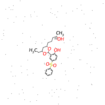 CCC1CC(CCC[C@H](C)O)OC(c2cc(S(=O)(=O)c3ccccc3)ccc2O)O1